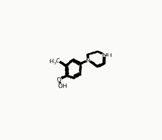 Cc1cc(N2CCNCC2)ccc1OO